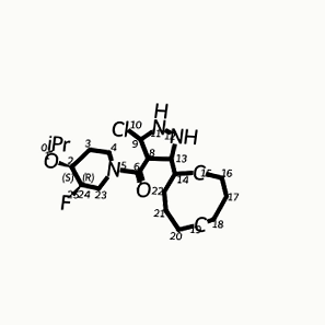 CC(C)O[C@H]1CCN(C(=O)C2C(Cl)NNC2C2CCCCCCCC2)C[C@H]1F